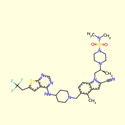 Cc1c(CN2CCC(Nc3ncnc4sc(CC(F)(F)F)cc34)CC2)ccc2c1cc(C#N)n2C[C@H](C)N1CCN(S(=O)(=O)N(C)C)CC1